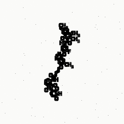 CCc1ccc2c(c1)c(=O)c(C(=O)Nc1ccc(Oc3ncnc4cc(OCCCCC(=O)Nc5cccc6c5C(=O)N(C5CCC(=O)NC5=O)C6=O)c(C)cc34)c(F)c1)c(C)n2C